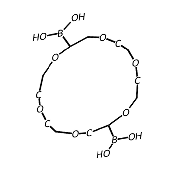 OB(O)C1COCCOCCOC(B(O)O)COCCOCCO1